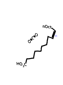 CCCCCCCC/C=C\CCCCCCCC(=O)O.O=C=O